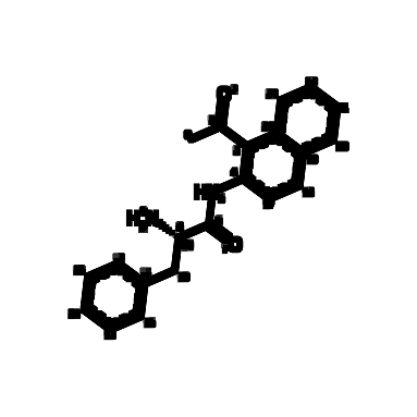 CC(=O)c1c(NC(=O)[C@@H](N)Cc2ccccc2)ccc2ccccc12